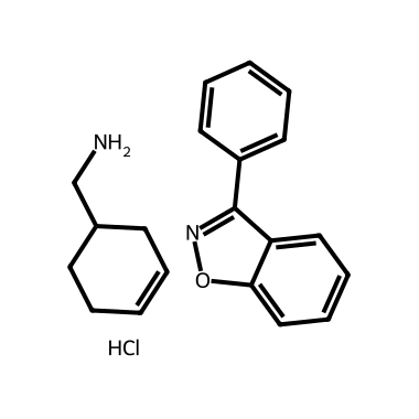 Cl.NCC1CC=CCC1.c1ccc(-c2noc3ccccc23)cc1